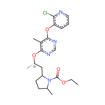 CCOC(=O)N1C(C)CCC1C[C@H](C)Oc1ncnc(Oc2cccnc2Cl)c1C